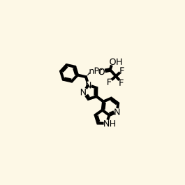 CCC[C@@H](c1ccccc1)n1cc(-c2ccnc3[nH]ccc23)cn1.O=C(O)C(F)(F)F